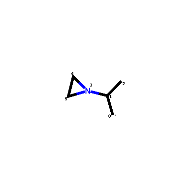 [CH2]C(C)N1CC1